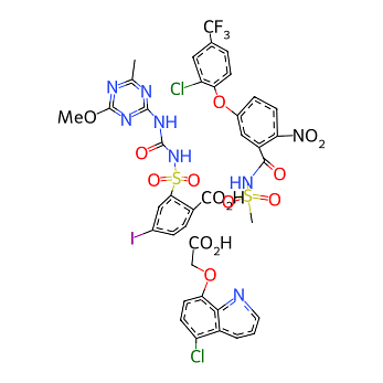 COc1nc(C)nc(NC(=O)NS(=O)(=O)c2cc(I)ccc2C(=O)O)n1.CS(=O)(=O)NC(=O)c1cc(Oc2ccc(C(F)(F)F)cc2Cl)ccc1[N+](=O)[O-].O=C(O)COc1ccc(Cl)c2cccnc12